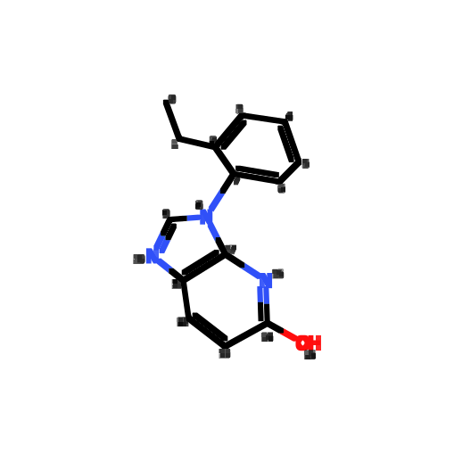 CCc1ccccc1-n1cnc2ccc(O)nc21